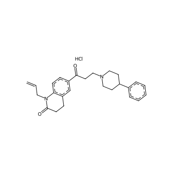 C=CCN1C(=O)CCc2cc(C(=O)CCN3CCC(c4ccccc4)CC3)ccc21.Cl